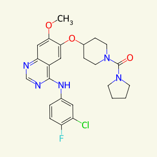 COc1cc2ncnc(Nc3ccc(F)c(Cl)c3)c2cc1OC1CCN(C(=O)N2CCCC2)CC1